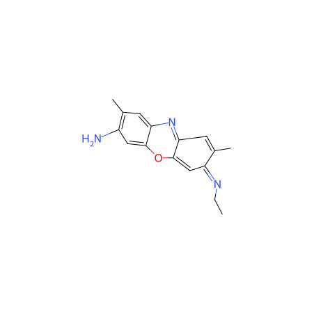 CCN=c1cc2oc3cc(N)c(C)cc3nc-2cc1C